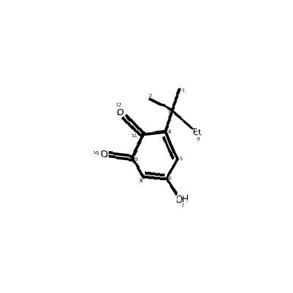 CCC(C)(C)C1=CC(O)=CC(=O)C1=O